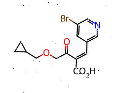 O=C(O)/C(=C/c1cncc(Br)c1)C(=O)COCC1CC1